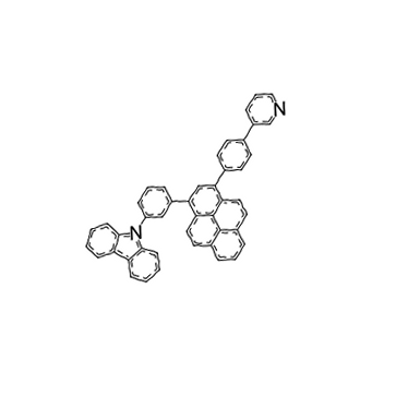 c1cncc(-c2ccc(-c3cc(-c4cccc(-n5c6ccccc6c6ccccc65)c4)c4ccc5cccc6ccc3c4c65)cc2)c1